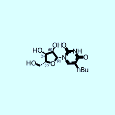 CCCCc1cn([C@@H]2O[C@H](CO)[C@@H](O)[C@H]2O)c(=O)[nH]c1=O